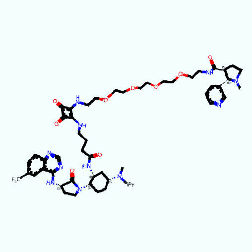 CC(C)N(C)[C@@H]1CC[C@H](N2CC[C@H](Nc3ncnc4ccc(C(F)(F)F)cc34)C2=O)[C@H](NC(=O)CCCNc2c(NCCOCCOCCOCCOCCNC(=O)[C@H]3CCN(C)[C@@H]3c3cccnc3)c(=O)c2=O)C1